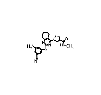 CNC(=O)C1CCN(c2nc(Nc3cc(N)cc(C#N)c3)nc3c2CCCC3)C1